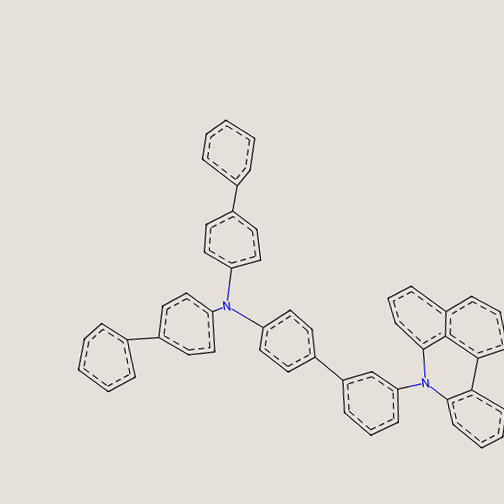 c1ccc(-c2ccc(N(c3ccc(-c4ccccc4)cc3)c3ccc(-c4cccc(N5c6ccccc6-c6cccc7cccc5c67)c4)cc3)cc2)cc1